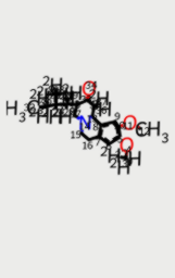 [2H]C([2H])([2H])Oc1cc2c(cc1OC)C1N(CC2)CC([2H])(C([2H])([2H])C([2H])(C([2H])([2H])[2H])C([2H])([2H])C)C(=O)C1([2H])[2H]